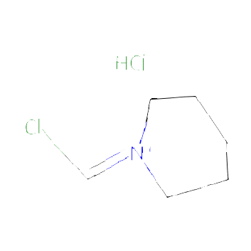 Cl.ClC=[N+]1CCCCC1